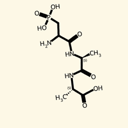 C[C@H](NC(=O)[C@H](C)NC(=O)C(N)CP(=O)(O)O)C(=O)O